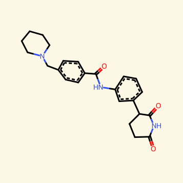 O=C1CCC(c2cccc(NC(=O)c3ccc(CN4CCCCC4)cc3)c2)C(=O)N1